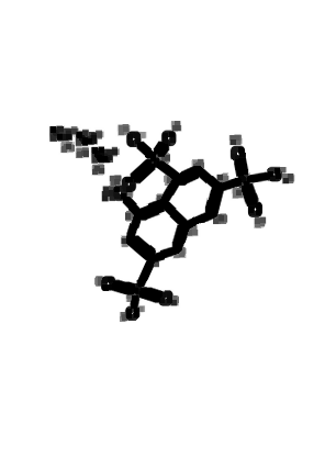 O=S(=O)([O-])c1cc(O)c2c(S(=O)(=O)[O-])cc(S(=O)(=O)[O-])cc2c1.[Na+].[Na+].[Na+]